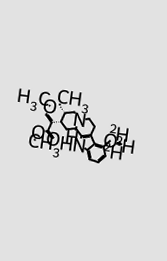 [2H]C([2H])([2H])Oc1cccc2[nH]c3c(c12)CCN1C[C@@H](CC)[C@@H](/C(=C\OC)C(=O)OC)C[C@@H]31